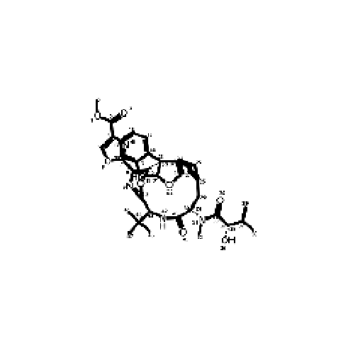 COC(=O)c1coc(-c2nc3oc2[C@@]24c5ccccc5NC2Oc2ccc(cc24)C[C@H](N(C)C(=O)[C@@H](O)C(C)C)C(=O)NC3C(C)(C)C)n1